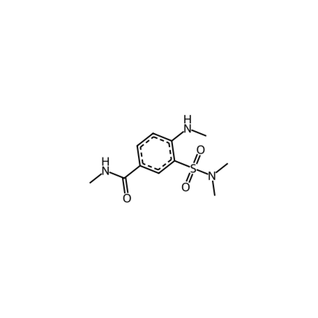 CNC(=O)c1ccc(NC)c(S(=O)(=O)N(C)C)c1